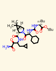 CC[C@H](C)[C@H](NC(=O)N[C@H](C(=O)N1C[C@H]2[C@@H]([C@H]1C(=O)NC(CC1CC1)C(=O)C(N)=O)C2(C)C)C1CCCCC1)C(=O)OC(C)(C)C